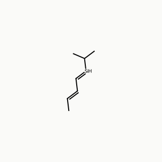 CC=CC=[SiH]C(C)C